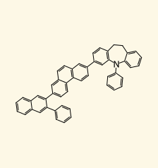 c1ccc(-c2cc3ccccc3cc2-c2ccc3c(ccc4cc(-c5ccc6c(c5)N(c5ccccc5)c5ccccc5CC6)ccc43)c2)cc1